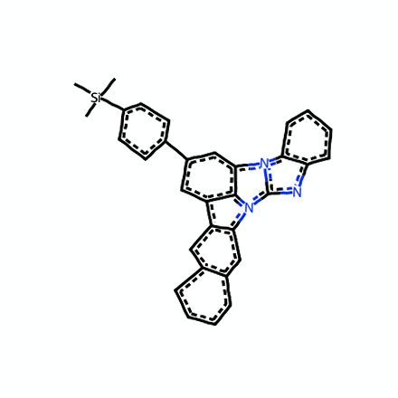 C[Si](C)(C)c1ccc(-c2cc3c4cc5ccccc5cc4n4c3c(c2)n2c3ccccc3nc24)cc1